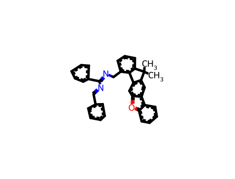 CC1(C)c2cc3c(cc2-c2c(C/N=C(\N=C\c4ccccc4)c4ccccc4)cccc21)oc1ccccc13